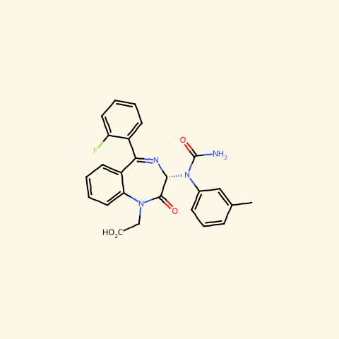 Cc1cccc(N(C(N)=O)[C@H]2N=C(c3ccccc3F)c3ccccc3N(CC(=O)O)C2=O)c1